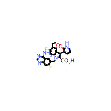 Nc1ncnc2cc(F)c(Cn3c(C(=O)O)c(-c4ccc[nH]c4=O)c4c5c(c(F)cc43)CCO5)cc12